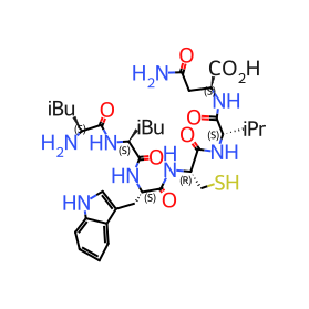 CCC(C)[C@H](N)C(=O)N[C@H](C(=O)N[C@@H](Cc1c[nH]c2ccccc12)C(=O)N[C@@H](CS)C(=O)N[C@H](C(=O)N[C@@H](CC(N)=O)C(=O)O)C(C)C)C(C)CC